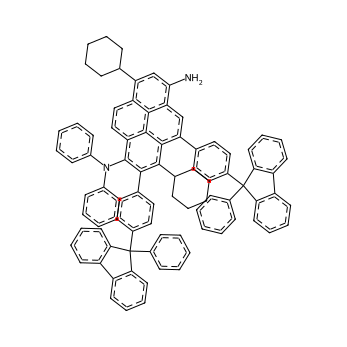 Nc1cc(C2CCCCC2)c2ccc3c(N(c4ccccc4)c4ccccc4)c(-c4ccc(C5(c6ccccc6)c6ccccc6-c6ccccc65)cc4)c(C4CCCCC4)c4c(-c5ccc(C6(c7ccccc7)c7ccccc7-c7ccccc76)cc5)cc1c2c34